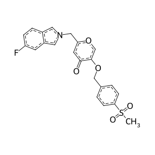 CS(=O)(=O)c1ccc(COc2coc(Cn3cc4ccc(F)cc4c3)cc2=O)cc1